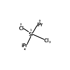 CC(C)[Si](Cl)(Cl)C(C)C